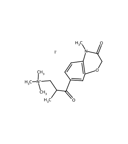 CC(C[N+](C)(C)C)C(=O)c1ccc2c(c1)OCC(=O)N2C.[I-]